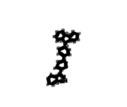 c1ccc2c(-c3ccc(-c4ccc(-n5c6ccccc6c6ccccc65)cc4)cc3)n[nH]c2c1